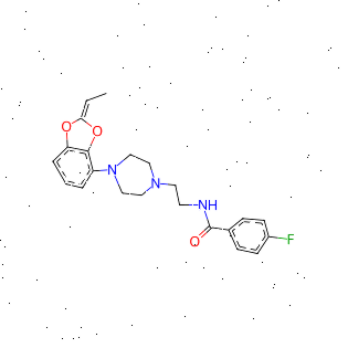 CC=C1Oc2cccc(N3CCN(CCNC(=O)c4ccc(F)cc4)CC3)c2O1